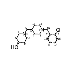 OC1CCN(CC2CCN(Cc3ccccc3Cl)CC2)CC1